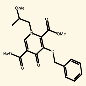 COC(=O)c1cn(CC(C)OC)c(C(=O)OC)c(OCc2ccccc2)c1=O